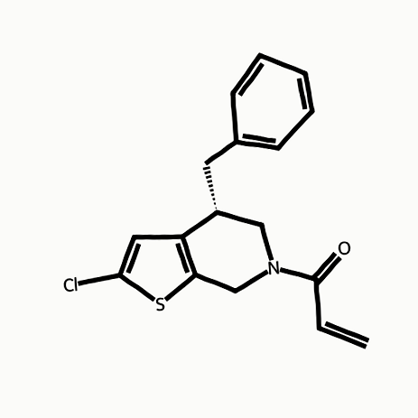 C=CC(=O)N1Cc2sc(Cl)cc2[C@H](Cc2ccccc2)C1